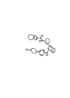 CCN1CCN(c2ccc(Nc3cc(N4CCC[C@H](NC(=O)c5cc6c(s5)CCCC6)C4)nc4ccnn34)nc2)CC1